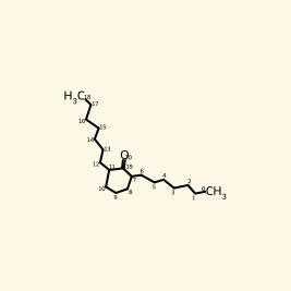 CCCCCCCC1CCCC(CCCCCCC)C1=O